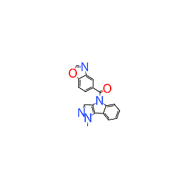 Cn1ncc2c1c1ccccc1n2C(=O)c1ccc2ocnc2c1